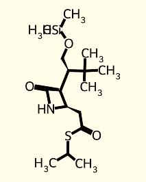 CC(C)SC(=O)C[C@H]1NC(=O)[C@H]1[C@@H](CO[SiH](C)C)C(C)(C)C